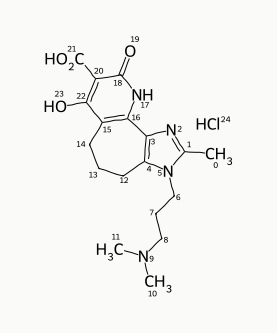 Cc1nc2c(n1CCCN(C)C)CCCc1c-2[nH]c(=O)c(C(=O)O)c1O.Cl